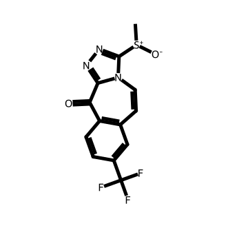 C[S+]([O-])c1nnc2c(=O)c3ccc(C(F)(F)F)cc3ccn12